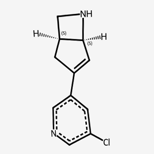 Clc1cncc(C2=C[C@@H]3NC[C@@H]3C2)c1